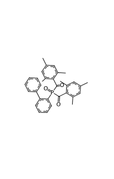 Cc1cc(C)c(C(=O)P(=O)(C(=O)c2c(C)cc(C)cc2C)c2ccccc2-c2ccccc2)c(C)c1